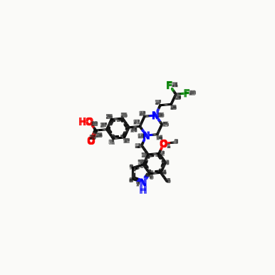 COc1cc(C)c2[nH]ccc2c1CN1CCN(CCC(F)F)CC1c1ccc(C(=O)O)cc1